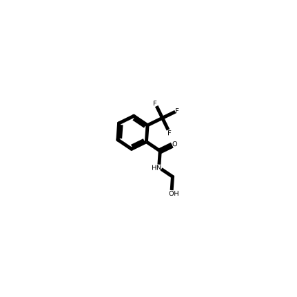 O=C(NCO)c1ccccc1C(F)(F)F